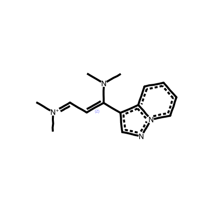 CN(C)/C(=C\C=[N+](C)C)c1cnn2ccccc12